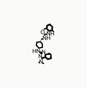 Cc1cccc(C)c1NC(=O)NC[C@H]1CC[C@@H](Nc2nc(N(C)C)c3ccccc3n2)CC1